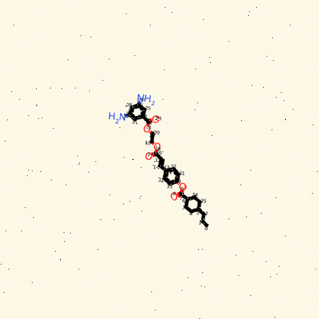 CCCC1CCC(C(=O)Oc2ccc(C=CC(=O)OCCOC(=O)c3cc(N)cc(N)c3)cc2)CC1